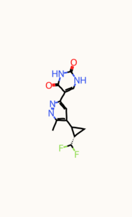 Cc1nnc(-c2c[nH]c(=O)[nH]c2=O)cc1C1C[C@@H]1C(F)F